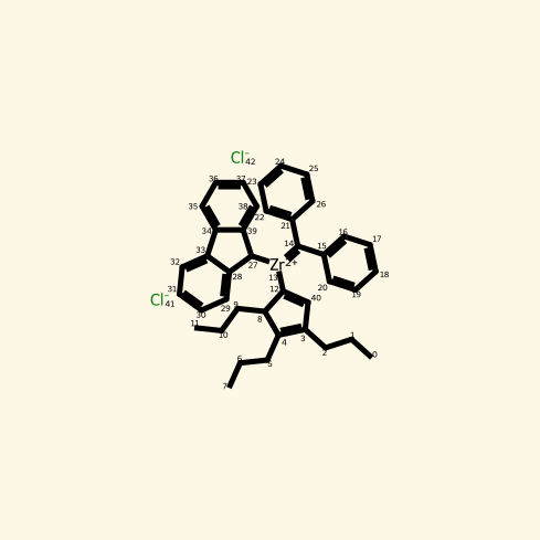 CCCC1=C(CCC)C(CCC)[C]([Zr+2](=[C](c2ccccc2)c2ccccc2)[CH]2c3ccccc3-c3ccccc32)=C1.[Cl-].[Cl-]